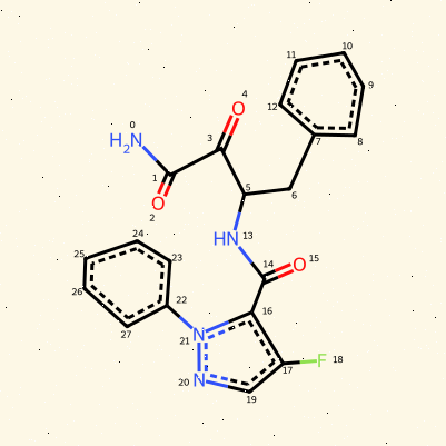 NC(=O)C(=O)C(Cc1ccccc1)NC(=O)c1c(F)cnn1-c1ccccc1